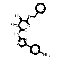 CC[C@@H](C(=N)C(=O)OCc1ccccc1)C(=O)Nc1nc(-c2ccc(N)cc2)cs1